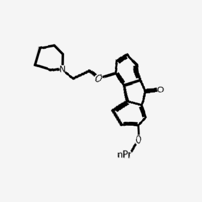 CCCOc1ccc2c(c1)C(=O)c1cccc(OCCN3CCCCC3)c1-2